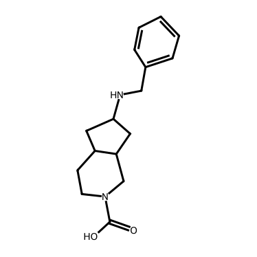 O=C(O)N1CCC2CC(NCc3ccccc3)CC2C1